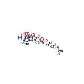 COC(Cc1ccc(OCCCCCCCCC(C)C)cc1)C(N)(CO)CC1CCC1